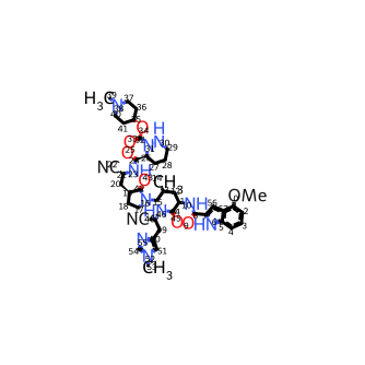 COc1cccc2[nH]c(C(=O)NC(CC(C)CN3CC[C@@H](C[C@@H](C#N)NC(=O)[C@@H]4CCCNN4C(=O)OC4CCN(C)CC4)C3=O)C(=O)NC(C#N)Cc3cn(C)cn3)cc12